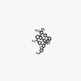 C/C=C\C(=C(/C)c1ccc(-c2cccc3c2oc2nc(C)ccc23)nc1)c1cc(B2OC(C)(C)C(C)(C)O2)cc(-c2cc(C)c(C)cc2-c2ccc(-c3ccccn3)cc2)c1